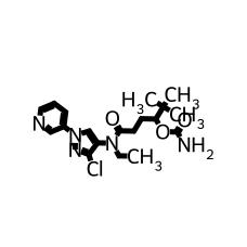 CCN(C(=O)CCC(OC(N)=O)C(C)(C)C)c1cn(-c2cccnc2)nc1Cl